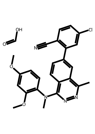 COc1ccc(N(C)c2nnc(C)c3cc(-c4cc(Cl)ccc4C#N)ccc23)c(OC)c1.O=CO